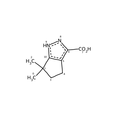 CC1(C)CCc2c(C(=O)O)n[nH]c21